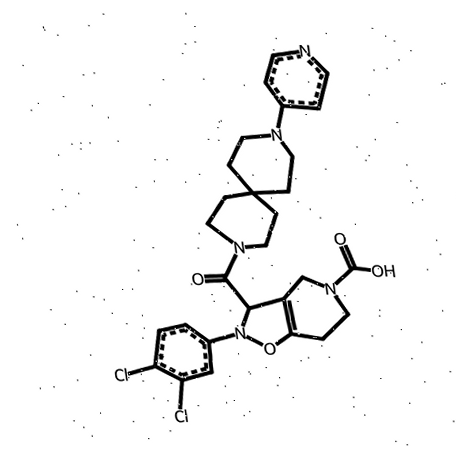 O=C(O)N1CCC2=C(C1)C(C(=O)N1CCC3(CC1)CCN(c1ccncc1)CC3)N(c1ccc(Cl)c(Cl)c1)O2